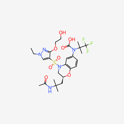 CCn1cc(S(=O)(=O)N2C[C@H](CC(C)(C)NC(C)=O)Oc3ccc(N(C(=O)O)C(C)(C)C(F)(F)F)cc32)c(OCCO)n1